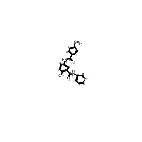 CCOc1ccc(C(=O)Nc2ccc(Cl)c(C(=O)Nc3cccnc3)c2)cc1